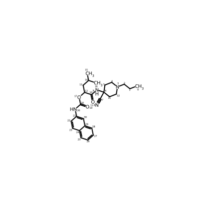 CCCN1CCC(C#N)(NC(=O)C(CC(C)C)OC(=O)Nc2ccc3ccccc3c2)CC1